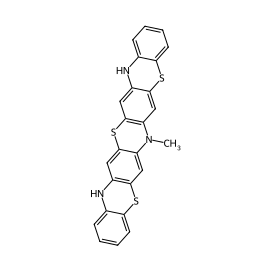 Cn1c2cc3sc4ccccc4[nH]c3cc2sc2cc3[nH]c4ccccc4sc3cc21